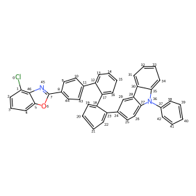 Clc1cccc2oc(-c3ccc(-c4ccccc4-c4ccccc4-c4ccc5c(c4)c4ccccc4n5-c4ccccc4)cc3)nc12